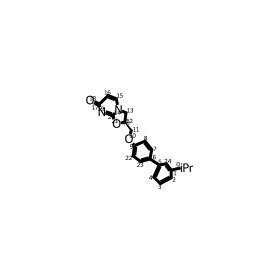 CC(C)c1cccc(-c2ccc(OC[C@@H]3Cn4ccc(=O)nc4O3)cc2)c1